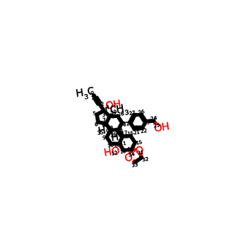 CC#C[C@]1(O)CC[C@H]2[C@@H]3CC[C@@]4(O)CC5(CCC4=C3[C@@H](c3ccc(CO)cc3)C[C@@]21C)OCCO5